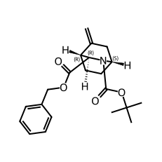 C=C1C[C@@H]2CC[C@H]1[C@H](C(=O)OCc1ccccc1)N2C(=O)OC(C)(C)C